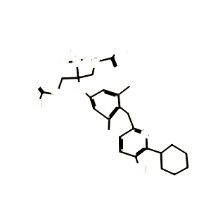 Cc1cc(OC(COC(=O)C(C)(C)C)(COC(=O)C(C)(C)C)P(=O)(O)O)cc(C)c1Cc1ccc(O)c(C2CCCCC2)n1